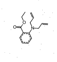 C=CCN(CC=C)c1ccccc1C(=O)OCC